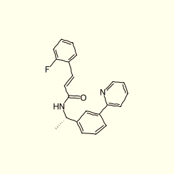 C[C@H](NC(=O)/C=C/c1ccccc1F)c1cccc(-c2ccccn2)c1